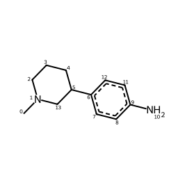 CN1CCCC(c2ccc(N)cc2)C1